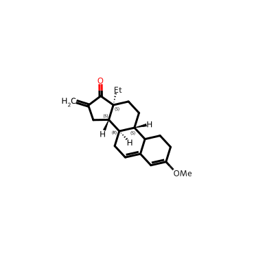 C=C1C[C@H]2[C@@H]3CC=C4C=C(OC)CCC4[C@H]3CC[C@]2(CC)C1=O